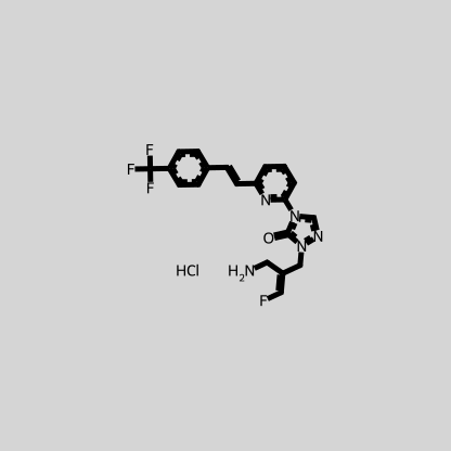 Cl.NC/C(=C\F)Cn1ncn(-c2cccc(/C=C/c3ccc(C(F)(F)F)cc3)n2)c1=O